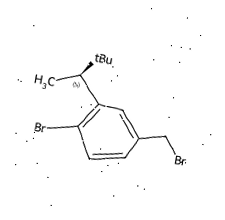 C[C@H](c1cc(CBr)ccc1Br)C(C)(C)C